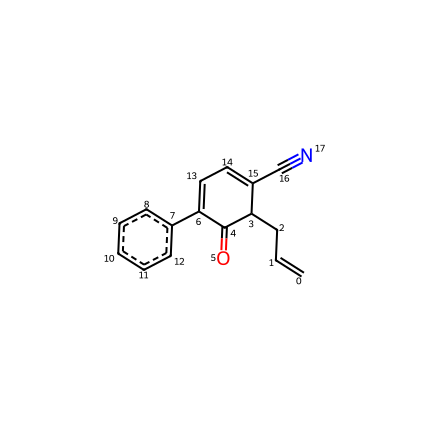 C=CCC1C(=O)C(c2ccccc2)=CC=C1C#N